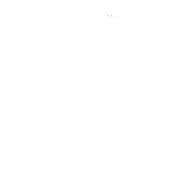 COc1ccc(COc2ccc(C=O)cc2Cl)cc1